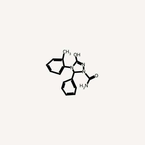 Cc1ccccc1N1C(O)=NN(C(N)=O)C1c1ccccc1